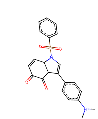 CN(C)c1ccc(C2=CN(S(=O)(=O)c3ccccc3)C3C=CC(=O)C(=O)C23)cc1